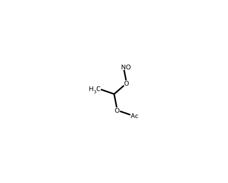 CC(=O)OC(C)ON=O